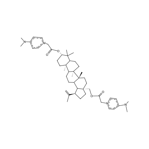 C=C(C)[C@@H]1CC[C@]2(COC(=O)C[n+]3ccc(N(C)C)cc3)CC[C@]3(C)C(CCC4[C@@]5(C)CC[C@H](OC(=O)C[n+]6ccc(N(C)C)cc6)C(C)(C)C5CC[C@]43C)C12